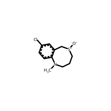 CN1CCC[S+]([O-])Cc2cc(Cl)ccc21